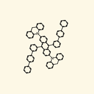 c1ccc(-c2ccc(-c3cccc(-c4c5ccc(N6c7ccccc7Cc7ccccc76)cc5c(-c5cccc(-c6ccc(-c7ccccc7)cc6)c5)c5ccc(N6c7ccccc7Cc7ccccc76)cc45)c3)cc2)cc1